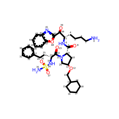 NCCCC[C@H](NC(=O)[C@@H]1C[C@@H](OCC2CCCCC2)CN1C(=O)[C@@H](CCc1ccccc1)NS(N)(=O)=O)C(=O)c1nc2ccccc2o1